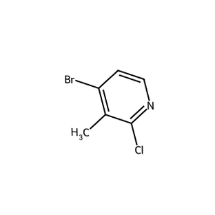 Cc1c(Br)ccnc1Cl